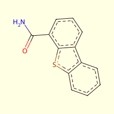 NC(=O)c1cccc2c1sc1ccccc12